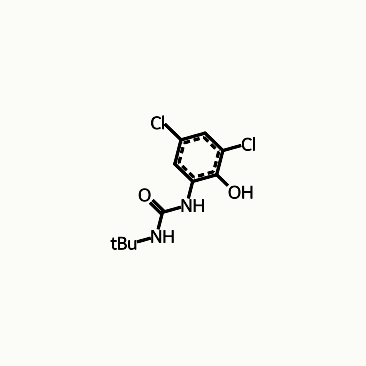 CC(C)(C)NC(=O)Nc1cc(Cl)cc(Cl)c1O